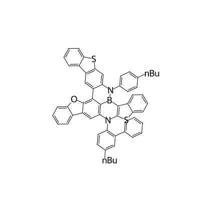 CCCCc1ccc(N2B3c4c(cc5c(oc6ccccc65)c4-c4cc5c(cc42)sc2ccccc25)N(c2ccc(CCCC)cc2-c2ccccc2)c2sc4ccccc4c23)cc1